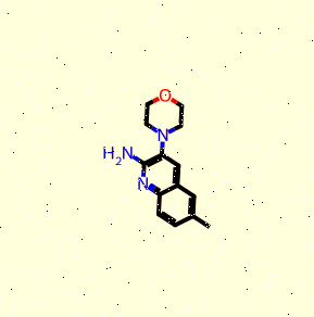 Cc1ccc2nc(N)c(N3CCOCC3)cc2c1